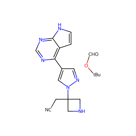 CC(C)(C)OC=O.N#CCC1(n2cc(-c3ncnc4[nH]ccc34)cn2)CNC1